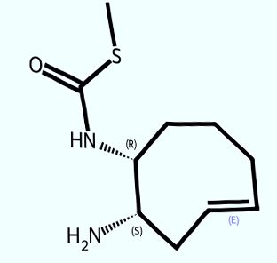 CSC(=O)N[C@@H]1CCC/C=C/C[C@@H]1N